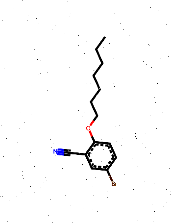 CCCCCCCOc1ccc(Br)cc1C#N